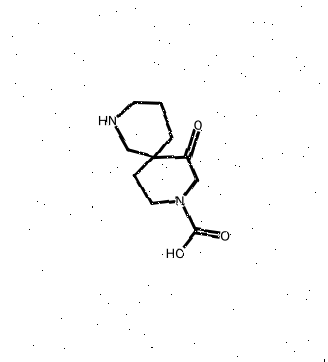 O=C(O)N1CCC2(CCCNC2)C(=O)C1